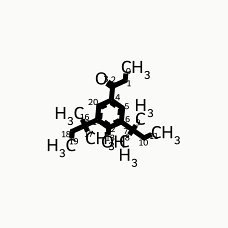 CCC(=O)c1cc(C(C)(C)CC)c(O)c(C(C)(C)CC)c1